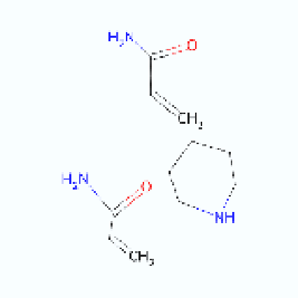 C1CCNCC1.C=CC(N)=O.C=CC(N)=O